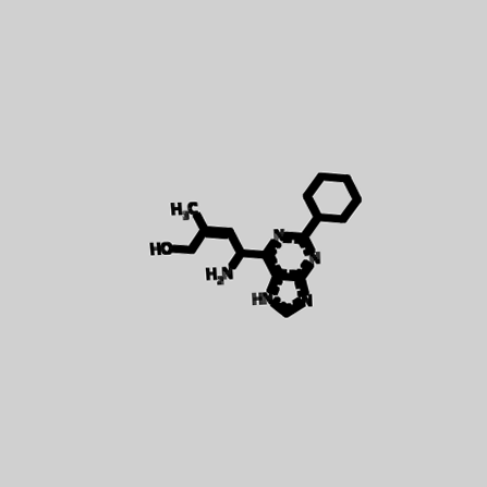 CC(=CC(N)c1nc(C2CCCCC2)nc2nc[nH]c12)CO